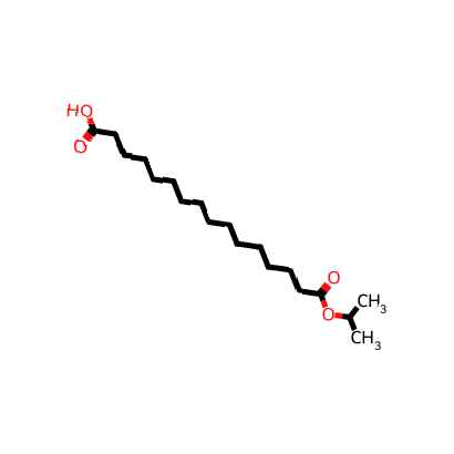 CC(C)OC(=O)CCCCCCCCCCCCCCC(=O)O